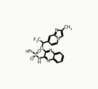 CCCS(=O)(=O)Nc1nc2ccccc2nc1OC(c1ccn2cc(C)nc2c1)C(F)(F)F